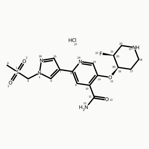 CS(=O)(=O)Cn1cc(-c2cc(C(N)=O)c(O[C@@H]3CCNC[C@@H]3F)cn2)cn1.Cl